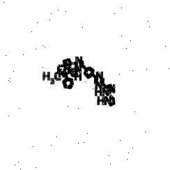 CN(C)[C@@H](C(=O)N1CCC[C@H]1c1ncc(-c2ccc(-c3cnc(-c4cnc([C@@H]5CCCN5)[nH]4)cn3)cc2)[nH]1)c1ccccc1